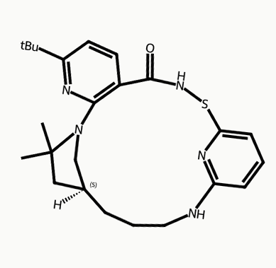 CC(C)(C)c1ccc2c(n1)N1C[C@@H](CCCNc3cccc(n3)SNC2=O)CC1(C)C